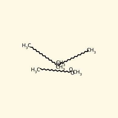 CCCCCCCCCCCCCCCCCC(=O)OC.CCCCCCCCCCCCCCCCCC[N+](C)(C)CCCCCCCCCCCCCCCCCC